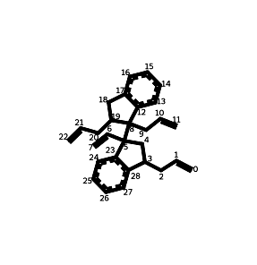 C=CCC1CC(C=C)(C2(CC=C)c3ccccc3CC2CC=C)c2ccccc21